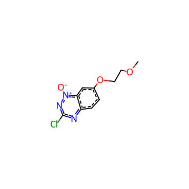 COCCOc1ccc2nc(Cl)n[n+]([O-])c2c1